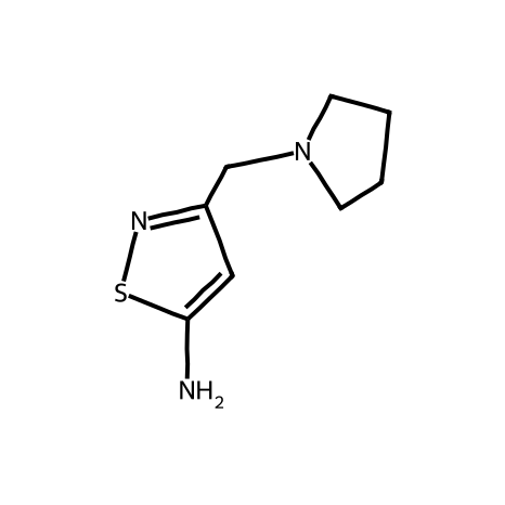 Nc1cc(CN2CCCC2)ns1